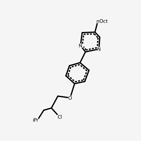 CCCCCCCCc1cnc(-c2ccc(OCC(Cl)CC(C)C)cc2)nc1